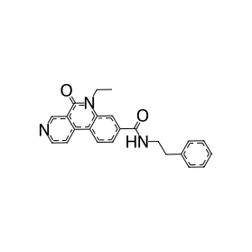 CCn1c(=O)c2cnccc2c2ccc(C(=O)NCCc3ccccc3)cc21